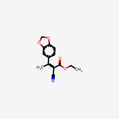 CCOC(=O)/C(C#N)=C(/C)c1ccc2c(c1)OCO2